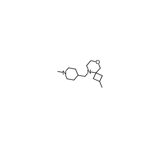 CC1CC2(COCCN2CC2CCN(C)CC2)C1